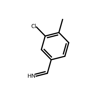 Cc1ccc(C=N)cc1Cl